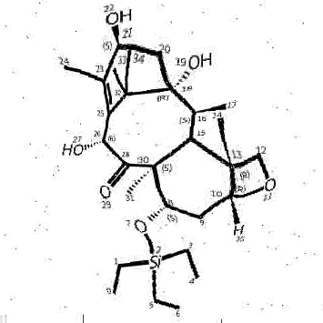 CC[Si](CC)(CC)O[C@H]1C[C@H]2OC[C@@]2(C)C2[C@H](C)[C@]3(O)C[C@H](O)C(C)=C([C@@H](O)C(=O)[C@@]21C)C3(C)C